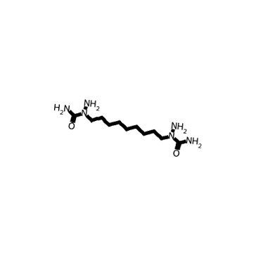 NC(=O)N(N)[CH]CCCCCCCCN(N)C(N)=O